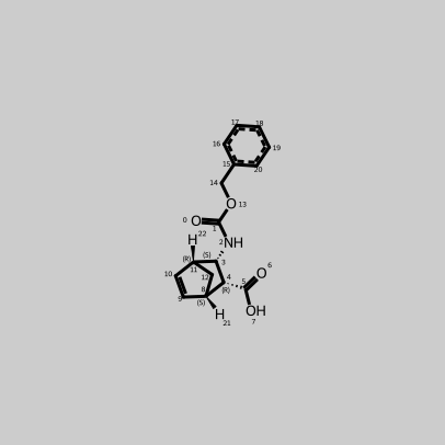 O=C(N[C@@H]1[C@H](C(=O)O)[C@@H]2C=C[C@H]1C2)OCc1ccccc1